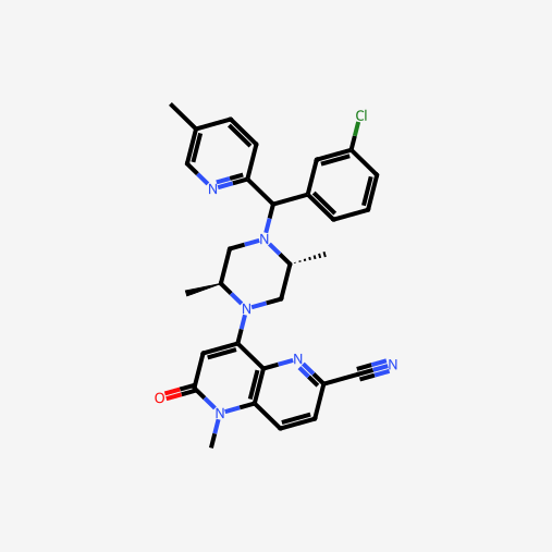 Cc1ccc(C(c2cccc(Cl)c2)N2C[C@H](C)N(c3cc(=O)n(C)c4ccc(C#N)nc34)C[C@H]2C)nc1